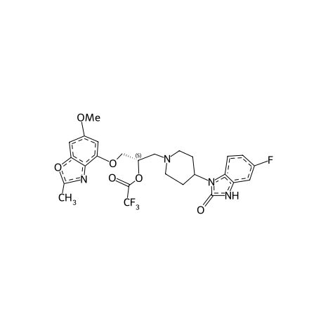 COc1cc(OC[C@H](CN2CCC(n3c(=O)[nH]c4cc(F)ccc43)CC2)OC(=O)C(F)(F)F)c2nc(C)oc2c1